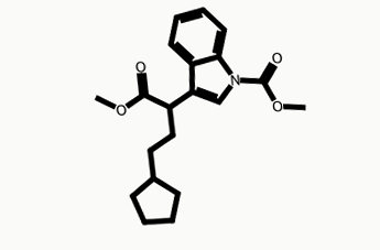 COC(=O)C(CCC1CCCC1)c1cn(C(=O)OC)c2ccccc12